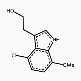 COc1ccc(Cl)c2c(CCO)c[nH]c12